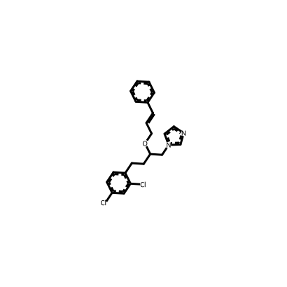 Clc1ccc(CCC(Cn2ccnc2)OCC=Cc2ccccc2)c(Cl)c1